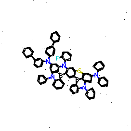 Fc1ccccc1N1c2cc3c(cc2B2c4ccccc4N(c4ccccc4)c4cc(N(c5ccc(-c6ccccc6)cc5)c5cccc(-c6ccccc6)c5)cc1c42)B1c2ccccc2N(c2ccccc2)c2cc(N(c4ccccc4)c4ccccc4)cc(c21)S3